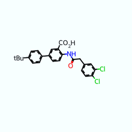 CC(C)(C)c1ccc(-c2ccc(NC(=O)Cc3ccc(Cl)c(Cl)c3)c(C(=O)O)c2)cc1